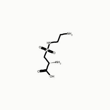 NCCNS(=O)(=O)C[C@H](N)C(=O)O